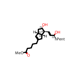 CCCCC[C@H](O)C=C[C@H]1[C@@H]2CC(CCCCC(=O)OC)=C[C@@H]2C[C@@H]1O